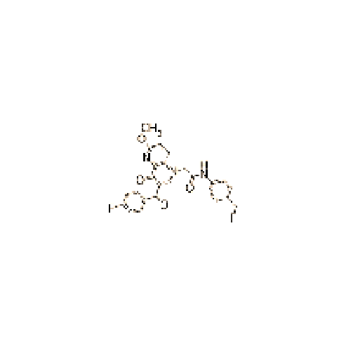 COc1ccc2c(n1)c(=O)c(C(=O)c1ccc(F)cc1)cn2CC(=O)Nc1ccc(CF)cc1